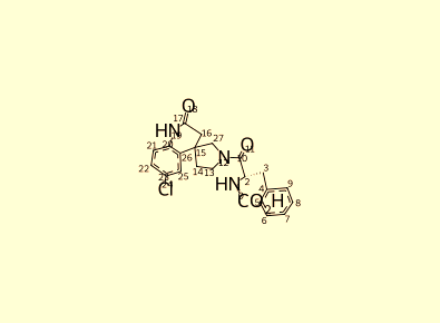 O=C(O)N[C@@H](Cc1ccccc1)C(=O)N1CCC2(CC(=O)Nc3ccc(Cl)cc32)C1